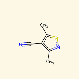 Cc1nsc(C)c1C#N